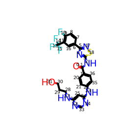 O=C(Nc1nc(-c2ccc(F)c(C(F)(F)F)c2)ns1)c1ccc(Nc2cc(NCCCO)ncn2)cc1